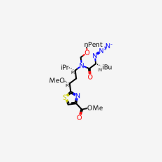 CCCCCOCN(C(=O)C(N=[N+]=[N-])[C@@H](C)CC)[C@H](C[C@@H](OC)c1nc(C(=O)OC)cs1)C(C)C